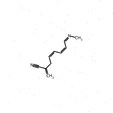 C=C(C#N)C\C=C/C=C\C=N/C